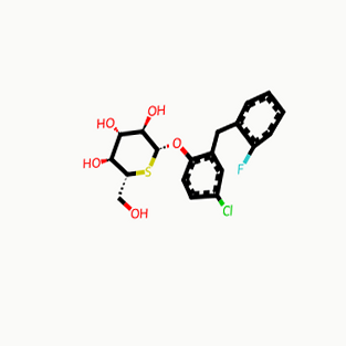 OC[C@H]1S[C@@H](Oc2ccc(Cl)cc2Cc2ccccc2F)[C@H](O)[C@@H](O)[C@@H]1O